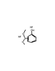 CO[SiH2]OC.F.F.Oc1ccccc1